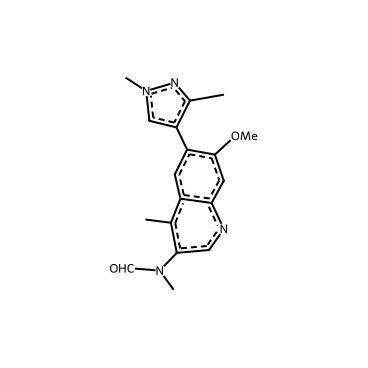 COc1cc2ncc(N(C)C=O)c(C)c2cc1-c1cn(C)nc1C